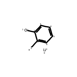 [Li+].[O-]c1ccccc1I